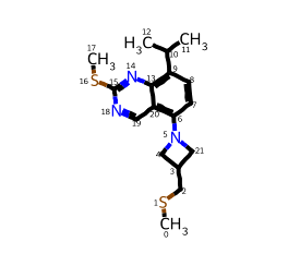 CSCC1CN(c2ccc(C(C)C)c3nc(SC)ncc23)C1